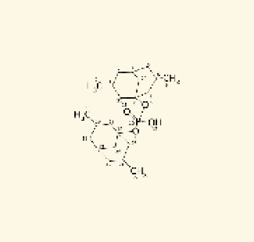 CC1CC2CC(C)CC(OP(=O)(O)OC34CC(C)CC(CC(C)C3)C4)(C1)C2